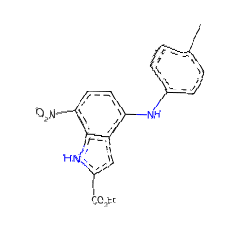 CCOC(=O)c1cc2c(Nc3ccc(C)cc3)ccc([N+](=O)[O-])c2[nH]1